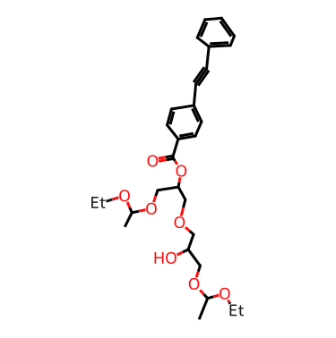 CCOC(C)OCC(O)COCC(COC(C)OCC)OC(=O)c1ccc(C#Cc2ccccc2)cc1